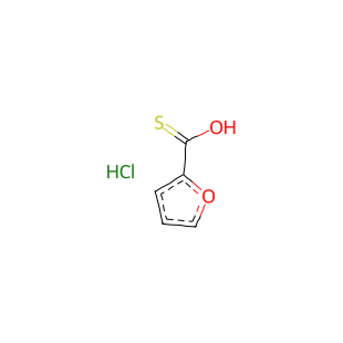 Cl.OC(=S)c1ccco1